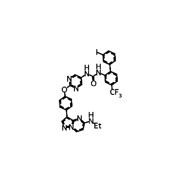 CCNc1ccn2ncc(-c3ccc(Oc4ncc(NC(=O)Nc5cc(C(F)(F)F)ccc5-c5cccc(I)c5)cn4)cc3)c2n1